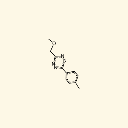 COCc1nnc(-c2ccc(C)cc2)nn1